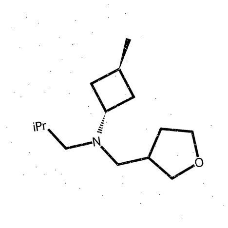 CC(C)CN(CC1CCOC1)[C@H]1C[C@H](C)C1